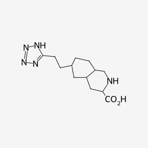 O=C(O)C1CC2CC(CCc3nnn[nH]3)CCC2CN1